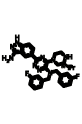 CC(C)[C@H]1CN(c2nc(-c3ccc4[nH]nc(N)c4c3)nnc2N(Cc2cccc(F)c2)Cc2cccc(F)c2)CCN1